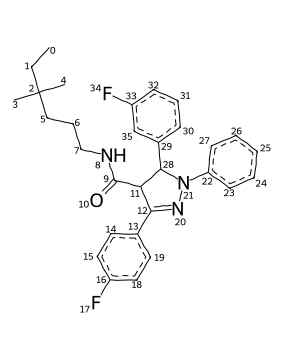 CCC(C)(C)CCCNC(=O)C1C(c2ccc(F)cc2)=NN(c2ccccc2)C1c1cccc(F)c1